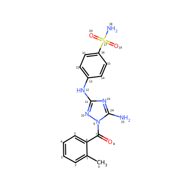 Cc1ccccc1C(=O)n1nc(Nc2ccc(S(N)(=O)=O)cc2)nc1N